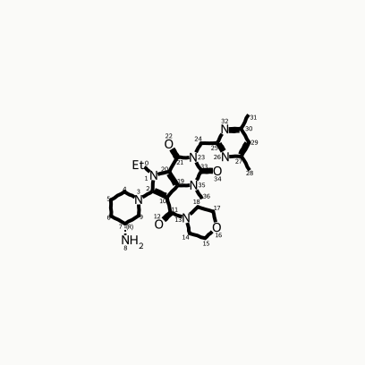 CCn1c(N2CCC[C@@H](N)C2)c(C(=O)N2CCOCC2)c2c1c(=O)n(Cc1nc(C)cc(C)n1)c(=O)n2C